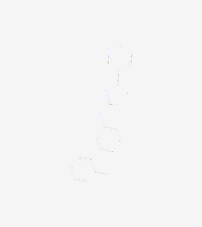 O=Cc1ccccc1-c1cccc(Nc2nc(-c3cccnc3)cs2)c1